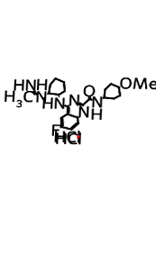 CO[C@H]1CC[C@H](NC(=O)c2nc(N[C@H]3CCCC[C@H]3NC(C)=N)c3cc(F)ccc3n2)CC1.Cl.Cl